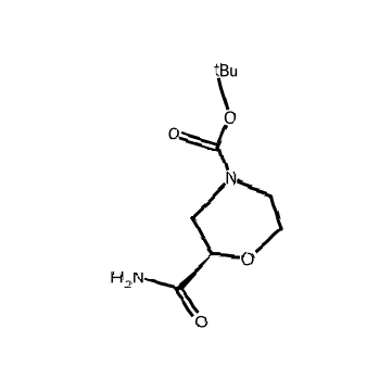 CC(C)(C)OC(=O)N1CCO[C@@H](C(N)=O)C1